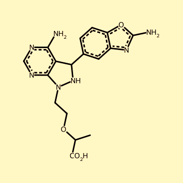 CC(OCCN1NC(c2ccc3oc(N)nc3c2)c2c(N)ncnc21)C(=O)O